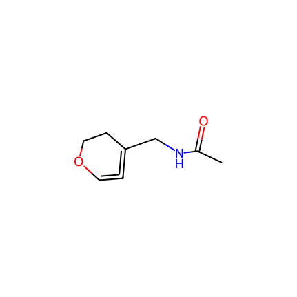 CC(=O)NCC1=C=COCC1